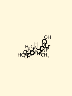 Cc1nnc(N[C@H](C)c2cccc(C(F)(F)C(C)(C)O)c2F)c2cc(N3CCC(O)CC3)c(C(F)(F)F)nc12